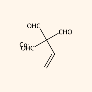 C=CC(C=O)(C=O)C=O.[Co]